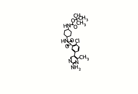 Cc1nc(N)ncc1-c1ccc(Cl)c(S(=O)(=O)NC2CCC(NC(=O)OC(C)(C)C)CC2)c1